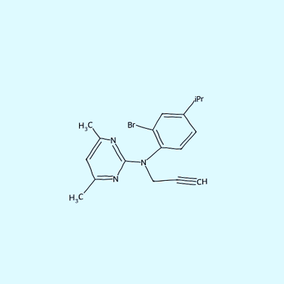 C#CCN(c1nc(C)cc(C)n1)c1ccc(C(C)C)cc1Br